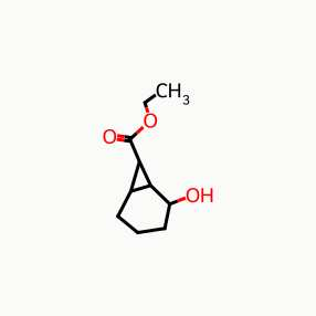 CCOC(=O)C1C2CCCC(O)C21